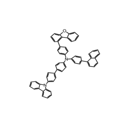 c1ccc2c(-c3ccc(N(c4ccc(-c5ccc(-n6c7ccccc7c7ccccc76)cc5)cc4)c4ccc(-c5cccc6oc7ccccc7c56)cc4)cc3)cccc2c1